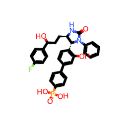 O=C1N[C@H](CCC(O)c2ccc(F)cc2)[C@@H](c2ccc(-c3ccc(P(=O)(O)O)cc3)cc2O)N1c1ccccc1